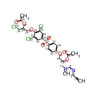 C#CC/N=C\N(C)C[C@H](COc1ccc(S(=O)(=O)c2cc(Cl)c(OC[C@@H](CCl)OC(C)=O)c(Cl)c2)cc1)OC(C)=O